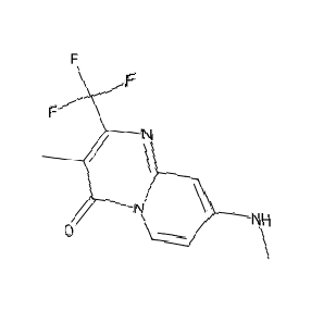 CNc1ccn2c(=O)c(C)c(C(F)(F)F)nc2c1